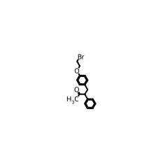 CC(=O)C(Cc1ccc(OCCBr)cc1)c1ccccc1